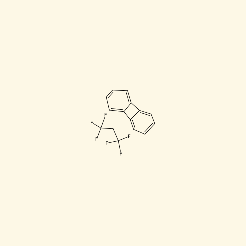 FC(F)(F)CC(F)(F)F.c1ccc2c(c1)-c1ccccc1-2